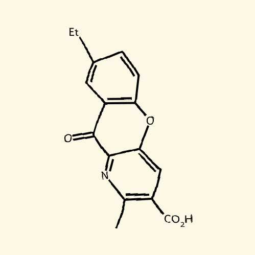 CCc1ccc2oc3cc(C(=O)O)c(C)nc3c(=O)c2c1